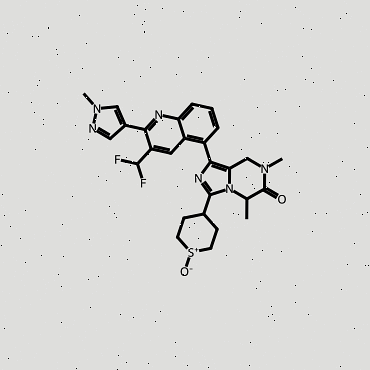 CC1C(=O)N(C)Cc2c(-c3cccc4nc(-c5cnn(C)c5)c(C(F)F)cc34)nc(C3CC[S+]([O-])CC3)n21